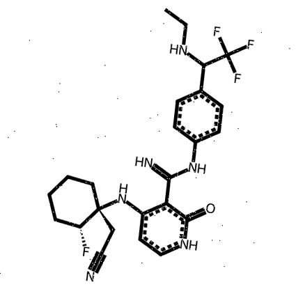 CCNC(c1ccc(NC(=N)c2c(N[C@@]3(CC#N)CCCC[C@H]3F)cc[nH]c2=O)cc1)C(F)(F)F